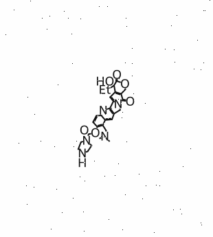 CCC1(O)C(=O)OCc2c1cc1n(c2=O)Cc2cc3c(CN(C)C)c(OC(=O)N4CCNCC4)ccc3nc2-1